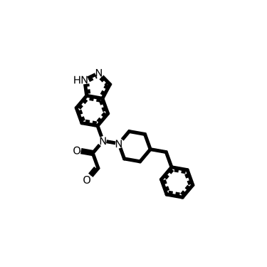 O=CC(=O)N(c1ccc2[nH]ncc2c1)N1CCC(Cc2ccccc2)CC1